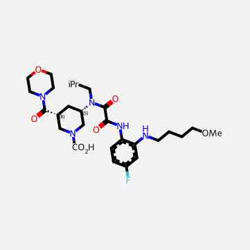 COCCCCNc1cc(F)ccc1NC(=O)C(=O)N(CC(C)C)[C@H]1C[C@@H](C(=O)N2CCOCC2)CN(C(=O)O)C1